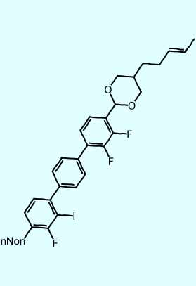 C/C=C/CCC1COC(c2ccc(-c3ccc(-c4ccc(CCCCCCCCC)c(F)c4I)cc3)c(F)c2F)OC1